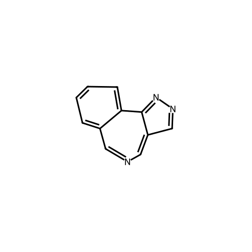 c1ccc2c3nncc-3cncc2c1